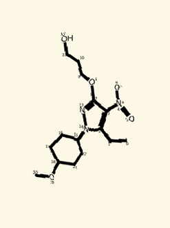 CCc1c([N+](=O)[O-])c(OCCCO)nn1C1CCC(OC)CC1